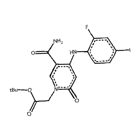 CC(C)(C)OC(=O)Cn1cc(C(N)=O)c(Nc2ccc(I)cc2F)cc1=O